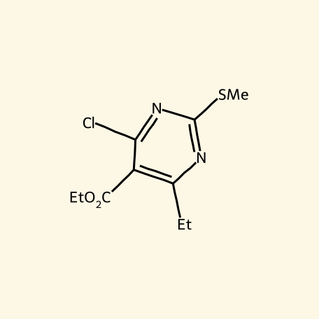 CCOC(=O)c1c(Cl)nc(SC)nc1CC